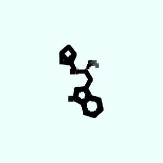 C[C@H](Cc1c[nH]c2ccccc12)NC1CC2CC1C2